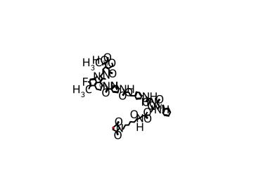 CC[C@@]1(O)C(=O)OCc2c1cc1n(c2=O)Cc2c-1nc1cc(F)c(C)c3c1c2[C@@H](NC(=O)c1ccc(NC(=O)OCc2ccc(NC(=O)CNC(=O)[C@H](Cc4ccccc4)NC(=O)COC(=O)CNC(=O)CCCCCN4C(=O)C=CC4=O)cc2)cn1)CC3